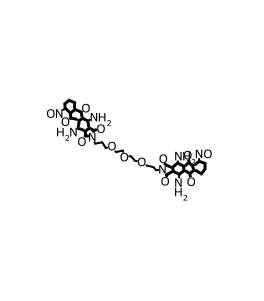 Nc1c2c(=O)c3cccc(N=O)c3c(=O)c2c(N)c2c(=O)n(CCCOCCOCCOCCCn3c(=O)c4c(N)c5c(=O)c6cccc(N=O)c6c(=O)c5c(N)c4c3=O)c(=O)c12